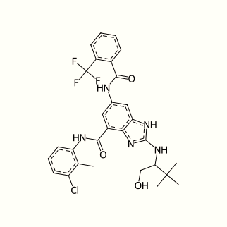 Cc1c(Cl)cccc1NC(=O)c1cc(NC(=O)c2ccccc2C(F)(F)F)cc2[nH]c(NC(CO)C(C)(C)C)nc12